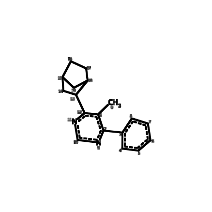 Cc1c(-c2ccccc2)ncnc1C1CC2CCC1C2